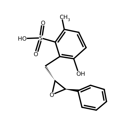 Cc1ccc(O)c(C[C@H]2O[C@@H]2c2ccccc2)c1S(=O)(=O)O